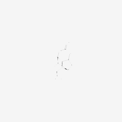 CCN1C2CC3CC(=O)OC(C2C)C31